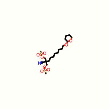 CS(=O)(=O)OCC(C#N)(CCCCCCCCOC1CCCCO1)COS(C)(=O)=O